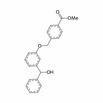 COC(=O)c1ccc(COc2cccc(C(O)c3ccccc3)c2)cc1